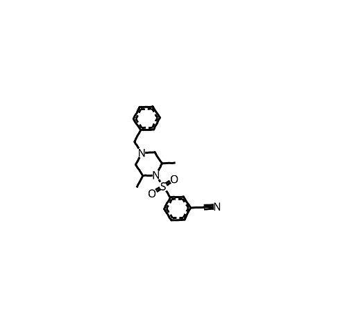 CC1CN(Cc2ccccc2)CC(C)N1S(=O)(=O)c1cccc(C#N)c1